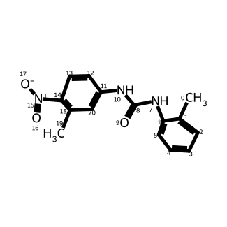 Cc1ccccc1NC(=O)Nc1ccc([N+](=O)[O-])c(C)c1